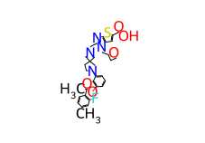 Cc1ccc(C2(C)Oc3cccc(N4CCC5(CN(Cc6nc7sc(C(=O)O)cc7n6CC6CCO6)C5)C4)c3O2)c(F)c1